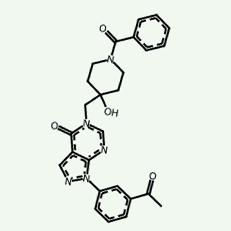 CC(=O)c1cccc(-n2ncc3c(=O)n(CC4(O)CCN(C(=O)c5ccccc5)CC4)cnc32)c1